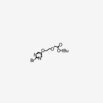 CC(C)(C)OC(=O)COCCOc1cnc(Br)nc1